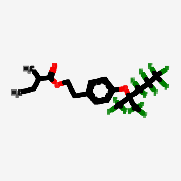 CCC(C)C(=O)OCCc1ccc(OC(C(F)(F)F)(C(F)(F)F)C(F)(F)C(F)(F)C(F)(F)F)cc1